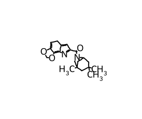 CC1(C)CC2CC(C)(CN2C(=O)C2=NC3=C4OCOC4=CCC3=C2)C1